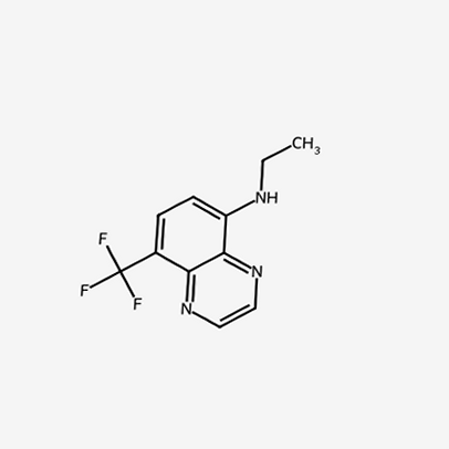 CCNc1ccc(C(F)(F)F)c2nccnc12